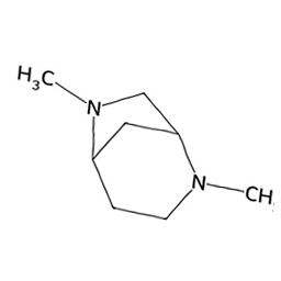 CN1CCC2CC1CN2C